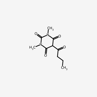 CCCC(=O)C1C(=O)N(C)C(=O)N(C)C1=O